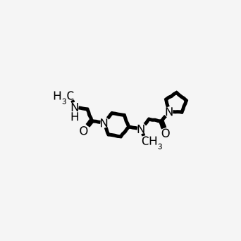 CNCC(=O)N1CCC(N(C)CC(=O)N2CCCC2)CC1